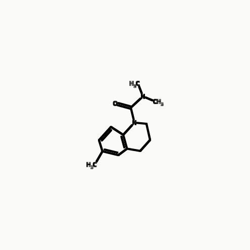 Cc1ccc2c(c1)CCCN2C(=O)N(C)C